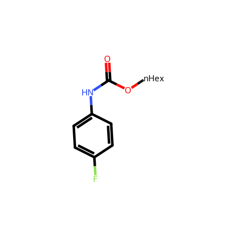 CCCCCCOC(=O)Nc1ccc(F)cc1